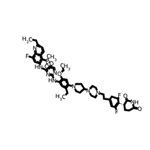 CCOc1cc(N2CCC(N3CCN(CCC4=CC(F)=C([C@H]5CCC(=O)NC5=O)C(F)C4)CC3)CC2)c(CC)cc1Nc1nccc(Nc2cc(F)c3nc(CC)ccc3c2P(C)(C)=O)n1